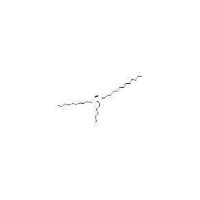 CCCCCCCCCCCCC[n+]1ccn(CCCCCCCCCC)c1CCCCCC